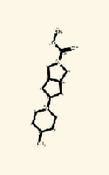 CC1CCN(C2CC3CN(C(=O)OC(C)(C)C)CC3C2)CC1